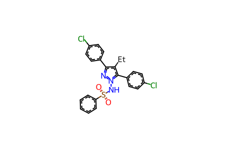 CCc1c(-c2ccc(Cl)cc2)nn(NS(=O)(=O)c2ccccc2)c1-c1ccc(Cl)cc1